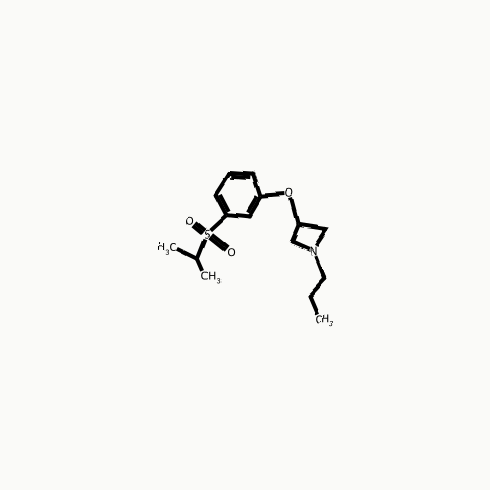 CCCN1CC(Oc2cccc(S(=O)(=O)C(C)C)c2)C1